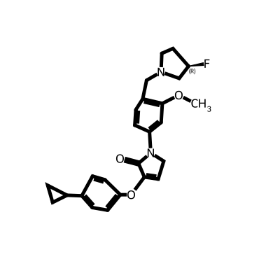 COc1cc(N2CC=C(Oc3ccc(C4CC4)cc3)C2=O)ccc1CN1CC[C@@H](F)C1